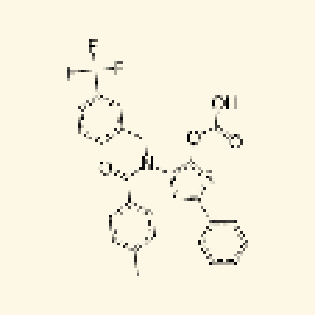 Cc1ccc(C(=O)N(Cc2cccc(C(F)(F)F)c2)c2cc(-c3ccccc3)sc2OC(=O)O)cc1